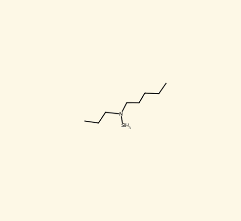 CCCCCN([SiH3])CCC